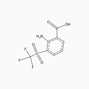 Nc1c(C(=O)O)cccc1S(=O)(=O)C(F)(F)F